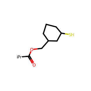 CC(C)C(=O)OCC1CCCC(S)C1